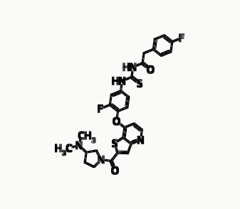 CN(C)C1CCN(C(=O)c2cc3nccc(Oc4ccc(NC(=S)NC(=O)Cc5ccc(F)cc5)cc4F)c3s2)C1